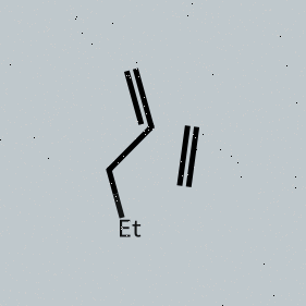 C=C.C=CCCC